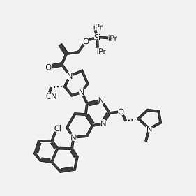 C=C(CO[Si](C(C)C)(C(C)C)C(C)C)C(=O)N1CCN(c2nc(OC[C@@H]3CCCN3C)nc3c2CCN(c2cccc4cccc(Cl)c24)C3)C[C@@H]1CC#N